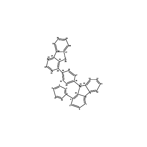 c1ccc(-c2cccc3c4ccccc4n(-c4ccc(-c5ncnc6c5sc5ccccc56)cc4)c23)cc1